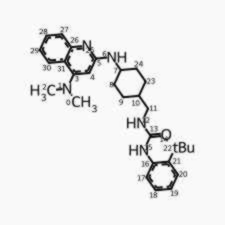 CN(C)c1cc(NC2CCC(CNC(=O)Nc3ccccc3C(C)(C)C)CC2)nc2ccccc12